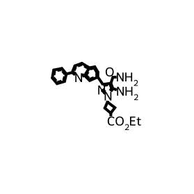 CCOC(=O)C1CC(n2nc(-c3ccc4ccc(-c5ccccc5)nc4c3)c(C(N)=O)c2N)C1